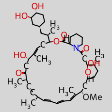 CO[C@H]1C[C@@H]2CC[C@@H](C)[C@](O)(CC(=O)N3CCCC[C@H]3C(=O)OC([C@H](C)C[C@@H]3CC[C@@H](O)[C@H](O)C3)C/C=C(\C)[C@@H](O)CC(=O)[C@H](C)CC[C@H](C)/C=C/C=C/C=C/1C)O2